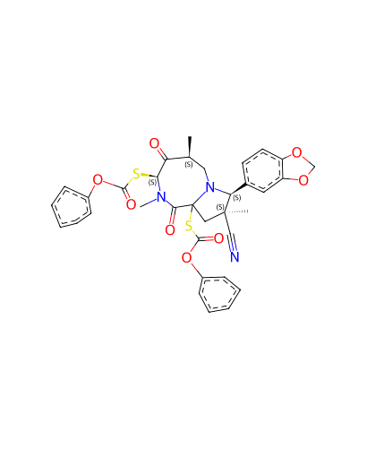 C[C@H]1CN2[C@@H](c3ccc4c(c3)OCO4)[C@@](C)(C#N)CC2(SC(=O)Oc2ccccc2)C(=O)N(C)[C@@H](SC(=O)Oc2ccccc2)C1=O